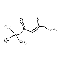 C/C(F)=C/C(=O)C(C)(C)C